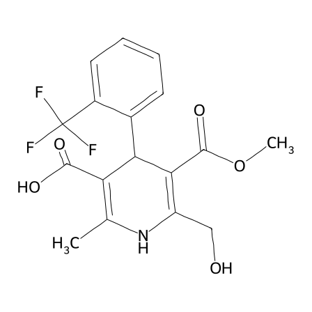 COC(=O)C1=C(CO)NC(C)=C(C(=O)O)C1c1ccccc1C(F)(F)F